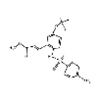 COC(=O)C=Cc1cc(OC(F)(F)F)ccc1NS(=O)(=O)c1ccc(C)cc1